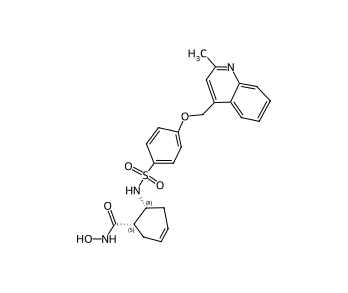 Cc1cc(COc2ccc(S(=O)(=O)N[C@@H]3CC=CC[C@@H]3C(=O)NO)cc2)c2ccccc2n1